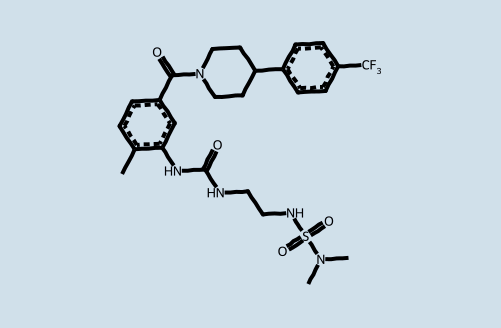 Cc1ccc(C(=O)N2CCC(c3ccc(C(F)(F)F)cc3)CC2)cc1NC(=O)NCCNS(=O)(=O)N(C)C